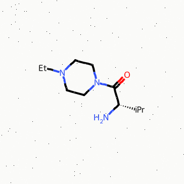 CCN1CCN(C(=O)[C@@H](N)C(C)C)CC1